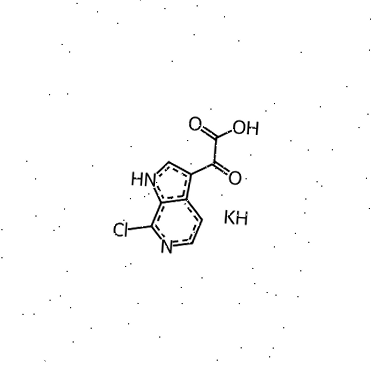 O=C(O)C(=O)c1c[nH]c2c(Cl)nccc12.[KH]